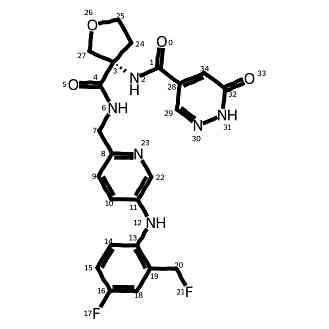 O=C(N[C@@]1(C(=O)NCc2ccc(Nc3ccc(F)cc3CF)cn2)CCOC1)c1cn[nH]c(=O)c1